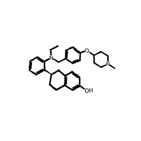 CCN(Cc1ccc(OC2CCN(C)CC2)cc1)c1ccccc1[C@@H]1CCc2cc(O)ccc2C1